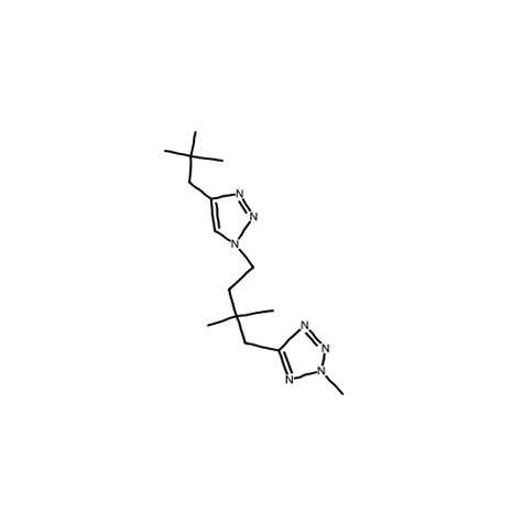 Cn1nnc(CC(C)(C)CCn2cc(CC(C)(C)C)nn2)n1